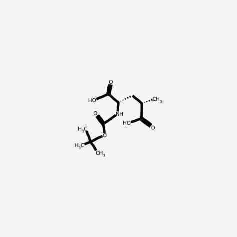 C[C@@H](C[C@H](NC(=O)OC(C)(C)C)C(=O)O)C(=O)O